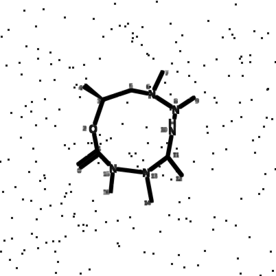 C=C1O[C@@H](C)CN(C)N(C)NC(C)N(C)N1C